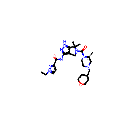 CCn1ccc(C(=O)Nc2n[nH]c3c2CN(C(=O)N2CCN(CC4CCOCC4)C[C@@H]2C)C3(C)C)n1